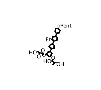 C=C(CO)C(O)Oc1cc(OC(=O)C(=O)CO)cc(-c2ccc(-c3ccc(C4=CCC(CCCCC)CC4)cc3CC)cc2)c1